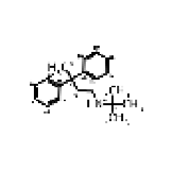 CC(C)(C)NCCC(C)(c1ccccc1)c1ccccc1